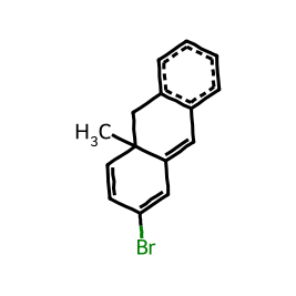 CC12C=CC(Br)=CC1=Cc1ccccc1C2